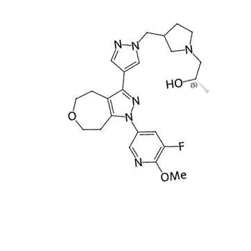 COc1ncc(-n2nc(-c3cnn(CC4CCN(C[C@H](C)O)C4)c3)c3c2CCOCC3)cc1F